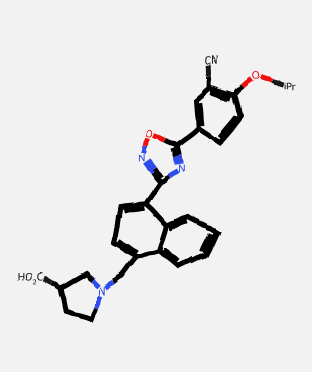 CC(C)Oc1ccc(-c2nc(-c3ccc(CN4CCC(C(=O)O)C4)c4ccccc34)no2)cc1C#N